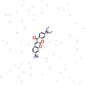 CCN(CC)c1ccc(C(=O)c2cc3ccc(N(C)C)cc3oc2=O)cc1